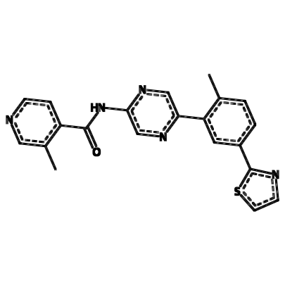 Cc1cnccc1C(=O)Nc1cnc(-c2cc(-c3nccs3)ccc2C)cn1